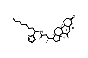 CCCCCCCC(NC(=O)C[C@@H](C)C1CC[C@H]2[C@@H]3C(=O)C[C@@H]4CC(=O)CC[C@]4(C)[C@H]3CC[C@]12C)c1cccs1